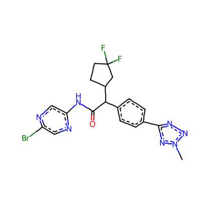 Cn1nnc(-c2ccc(C(C(=O)Nc3cnc(Br)cn3)C3CCC(F)(F)C3)cc2)n1